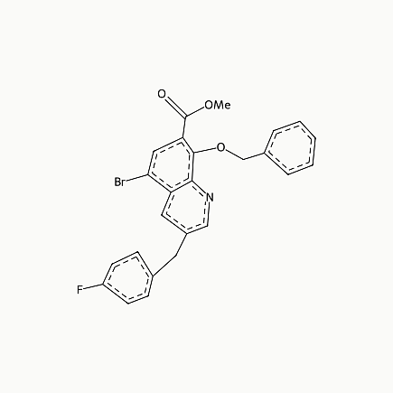 COC(=O)c1cc(Br)c2cc(Cc3ccc(F)cc3)cnc2c1OCc1ccccc1